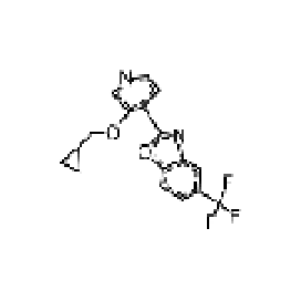 FC(F)(F)c1ccc2oc(-c3ccncc3OCC3CC3)nc2c1